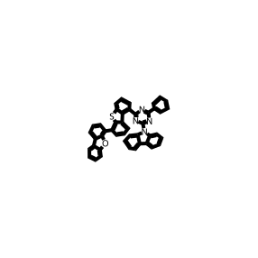 c1ccc(-c2nc(-c3cccc4sc5c(-c6cccc7c6oc6ccccc67)cccc5c34)nc(-n3c4ccccc4c4ccccc43)n2)cc1